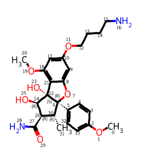 COc1ccc([C@@]23Oc4cc(OCCCCN)cc(OC)c4[C@]2(O)[C@H](O)[C@H](C(N)=O)[C@H]3C)cc1